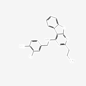 N#CCCc1nc(NCc2ccc(O)c(Cl)c2)c2c(n1)sc1ccccc12